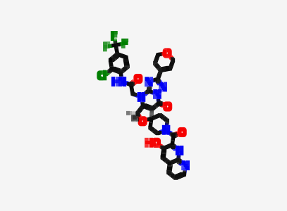 C[C@H]1OC2(CCN(C(=O)c3nc4ncccc4cc3O)CC2)c2c1n(CC(=O)Nc1ccc(C(F)(F)F)cc1Cl)c1nc(C3=CCOCC3)nn1c2=O